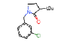 CC(C)(C)C1CCN(Cc2cccc(Cl)c2)C1=O